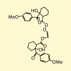 COc1ccc(C(=O)C2(O)CCCCC2C(=O)O/C=C\OOC(=O)C2CCCCC2(O)C(=O)c2ccc(OC)cc2)cc1